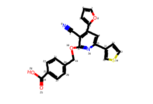 N#Cc1c(-c2ccco2)cc(-c2ccsc2)nc1OCc1ccc(C(=O)O)cc1